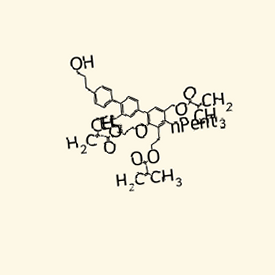 C=C(C)C(=O)OCCOc1c(-c2ccc(-c3ccc(CCCO)cc3)c(CC)c2)cc(COC(=O)C(=C)C)c(CCCCC)c1CCOC(=O)C(=C)C